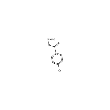 CCCCCOC(=O)c1ccc([O])cc1